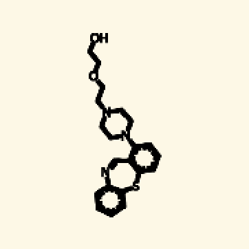 OCCOCCN1CCN(c2cccc3c2C=Nc2ccccc2S3)CC1